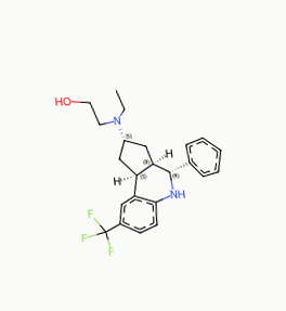 CCN(CCO)[C@@H]1C[C@@H]2[C@H](C1)c1cc(C(F)(F)F)ccc1N[C@H]2c1ccccc1